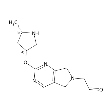 C[C@H]1C[C@@H](Oc2ncc3c(n2)CN(CC=O)C3)CN1